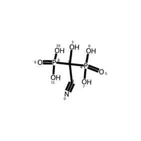 N#CC(O)(P(=O)(O)O)P(=O)(O)O